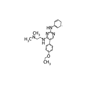 CCOc1ccc(-c2cnc(NC3=C[CH]CC=C3)nc2NCCN(C)C)cc1